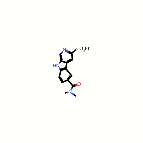 CCOC(=O)c1cc2c(cn1)[nH]c1ccc(C(=O)N(C)C)cc12